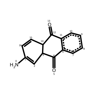 NC1=CC2C(=O)c3ccccc3C(=O)C2C=C1